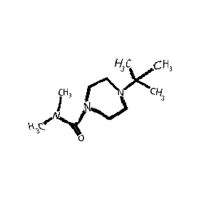 CN(C)C(=O)N1CCN(C(C)(C)C)CC1